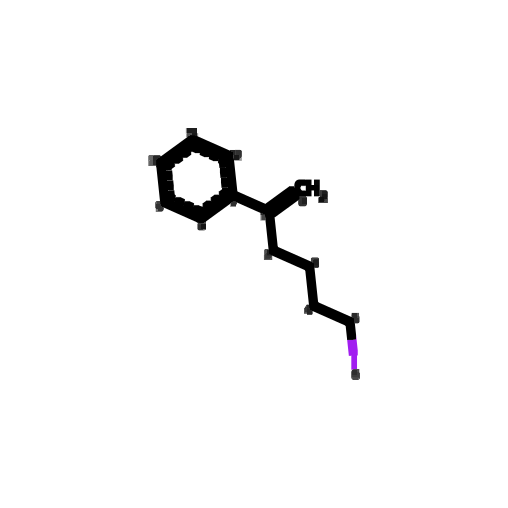 C=C(CCCCI)c1ccccc1